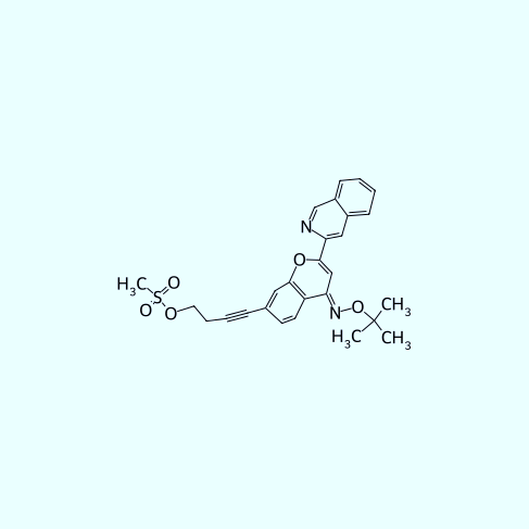 CC(C)(C)ON=c1cc(-c2cc3ccccc3cn2)oc2cc(C#CCCOS(C)(=O)=O)ccc12